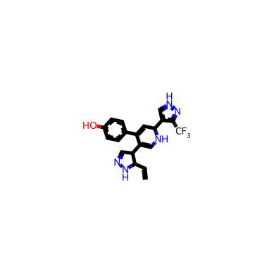 C=CC1NN=CC1C1=CNC(c2c[nH]nc2C(F)(F)F)C=C1c1ccc(O)cc1